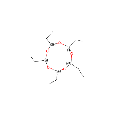 CC[SiH]1O[SiH](CC)O[SiH](CC)O[SiH](CC)O[SiH](CC)O1